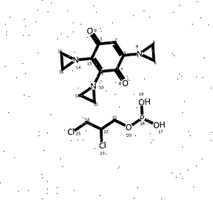 O=C1C=C(N2CC2)C(=O)C(N2CC2)=C1N1CC1.OP(O)OCC(Cl)CCl